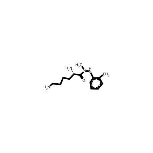 Cc1ccccc1NN(C)C(=O)[C@@H](N)CCCCN